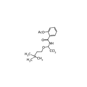 CC(=O)Oc1ccccc1C(=O)NC(OCC[Si](C)(C)C)C(Cl)(Cl)Cl